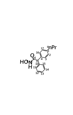 CCCc1ccc(C(C(=O)NO)c2ccccc2)cc1